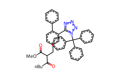 CCCCC(=O)C(Cc1ccc(-c2ccccc2)c(-c2nnnn2C(c2ccccc2)(c2ccccc2)c2ccccc2)c1)C(=O)OC